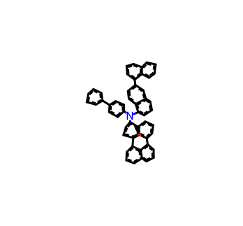 c1ccc(-c2ccc(N(c3ccc(-c4cccc5cccc(-c6ccccc6)c45)cc3)c3cccc4cc(-c5cccc6ccccc56)ccc34)cc2)cc1